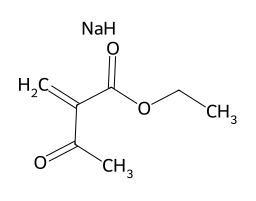 C=C(C(C)=O)C(=O)OCC.[NaH]